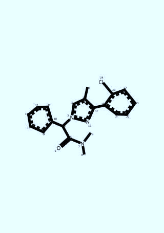 Cc1cn(C(C(=O)N(C)C)c2ccccc2)nc1-c1ccccc1Cl